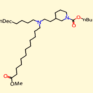 CCCCCCCCCCCCCCN(CCCCCCCCCCCC(=O)OC)CCC1CCCN(C(=O)OCCCC)C1